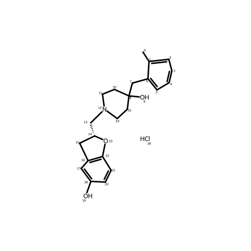 Cc1ccccc1CC1(O)CCN(C[C@H]2Cc3cc(O)ccc3O2)CC1.Cl